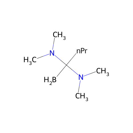 BC(CCC)(N(C)C)N(C)C